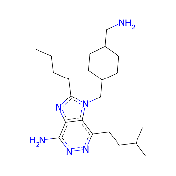 CCCCc1nc2c(N)nnc(CCC(C)C)c2n1CC1CCC(CN)CC1